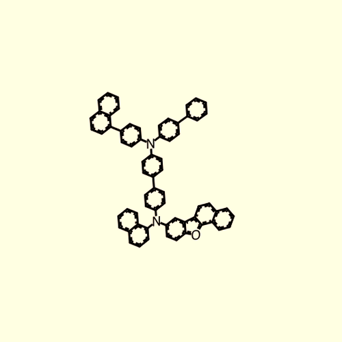 c1ccc(-c2ccc(N(c3ccc(-c4ccc(N(c5ccc6oc7c8ccccc8ccc7c6c5)c5cccc6ccccc56)cc4)cc3)c3ccc(-c4cccc5ccccc45)cc3)cc2)cc1